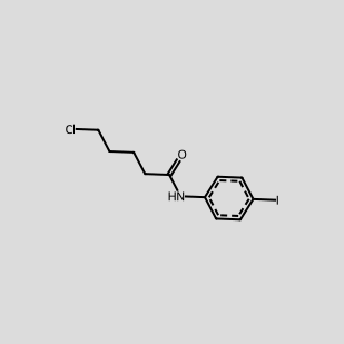 O=C(CCCCCl)Nc1ccc(I)cc1